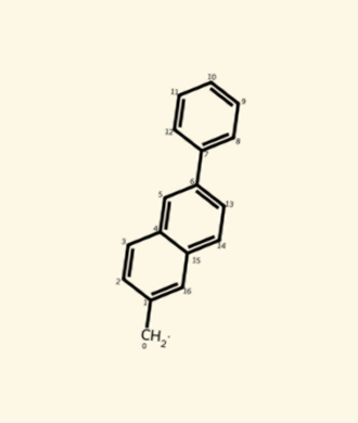 [CH2]c1ccc2cc(-c3ccccc3)ccc2c1